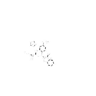 C1CC2CC1O2.COc1ccc(C(CC(=O)NOC(C)=O)N2Cc3ccccc3C2=O)cc1